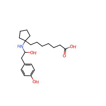 O=C(O)CCCCCCC1(NC(O)Cc2ccc(O)cc2)CCCC1